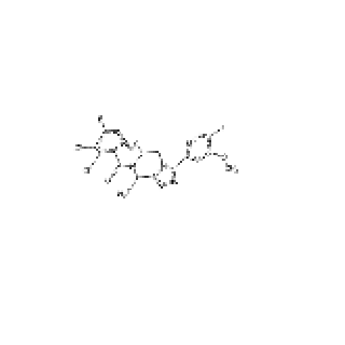 COc1cc(-c2nnc3n2CC(C)N(C(=O)c2ccc(F)c(Cl)c2Cl)C3C)ncc1F